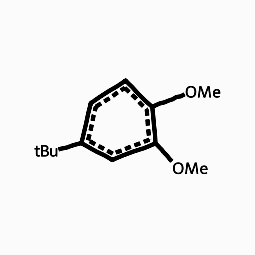 [CH2]C(C)(C)c1ccc(OC)c(OC)c1